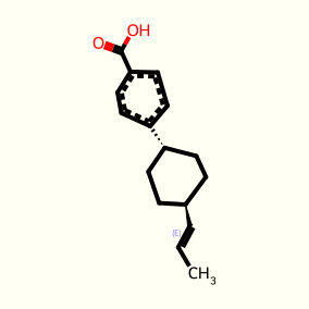 C/C=C/[C@H]1CC[C@H](c2ccc(C(=O)O)cc2)CC1